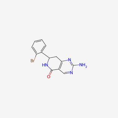 Nc1ncc2c(n1)CC(c1ccccc1Br)NC2=O